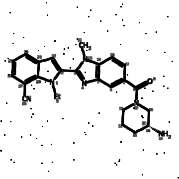 CCn1c(-c2nc3cc(C(=O)N4CCC[C@@H](N)C4)ccc3n2C)cc2cccc(C#N)c21